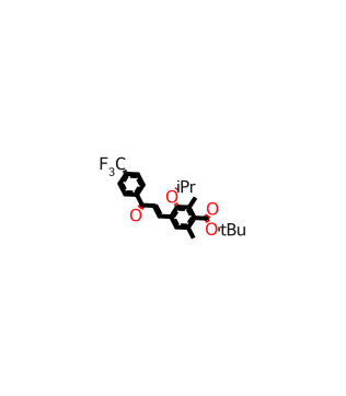 Cc1cc(/C=C/C(=O)c2ccc(C(F)(F)F)cc2)c(OC(C)C)c(C)c1C(=O)OC(C)(C)C